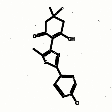 Cc1sc(-c2ccc(Cl)cc2)nc1C1=C(O)CC(C)(C)CC1=O